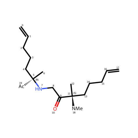 C=CCCC[C@@](C)(NCC(=O)[C@](C)(CCCC=C)NC)C(C)=O